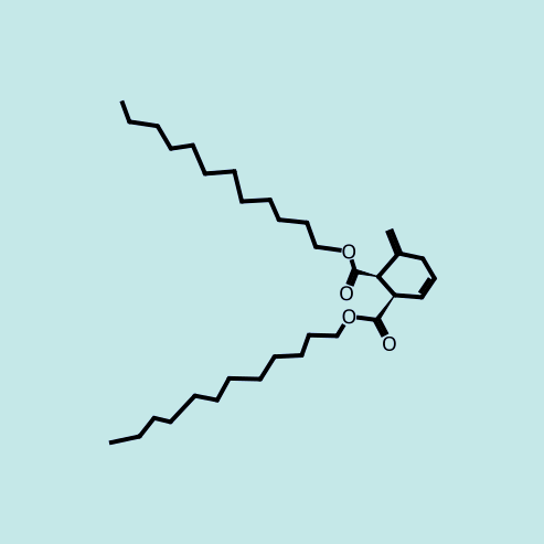 C=C1CC=C[C@@H](C(=O)OCCCCCCCCCCCC)[C@H]1C(=O)OCCCCCCCCCCCC